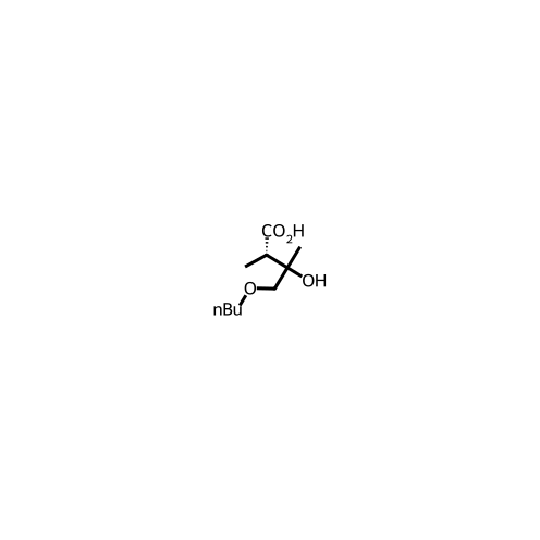 CCCCOCC(C)(O)[C@H](C)C(=O)O